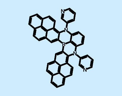 c1cncc(N2c3cccc4c3B(c3cc5ccc6cccc7ccc(c32)c5c67)c2cc3ccc5cccc6ccc(c2N4c2cccnc2)c3c56)c1